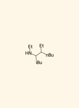 [CH2]C(CC)C(NCC)C(CC)CCCC